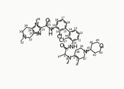 CC1=C(N(C)C(C)C(=O)Nc2cccc(-c3cccc(NC(=O)c4nc5c(n4C)CCN(C)C5)c3Cl)c2Cl)CCN(C2CCOCC2)C1